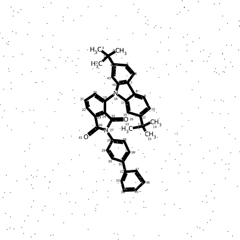 CC(C)(C)c1ccc2c3ccc(C(C)(C)C)cc3n(-c3cccc4c3C(=O)N(c3ccc(-c5ccccc5)cc3)C4=O)c2c1